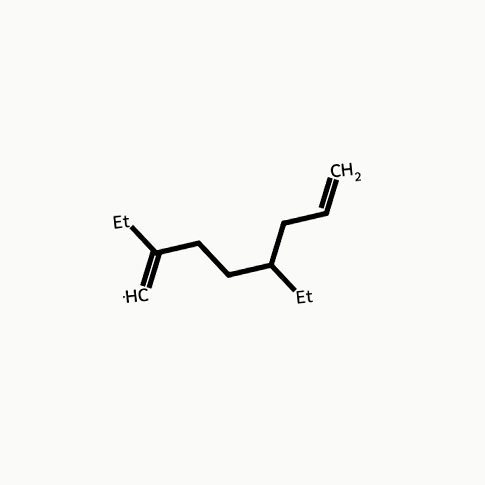 [CH]=C(CC)CCC(CC)CC=C